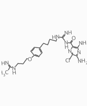 CC(=N)NCCCOc1ccc(CCCCNC(=N)NC(=O)c2nc(Cl)c(N)nc2N)cc1